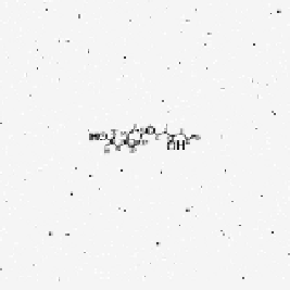 CCCC(O)CCOC1CC2OC1CC2CC(C)(C)O